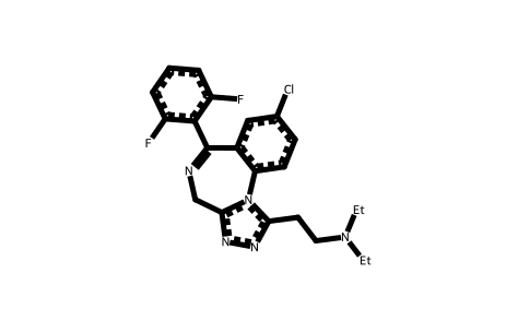 CCN(CC)CCc1nnc2n1-c1ccc(Cl)cc1C(c1c(F)cccc1F)=NC2